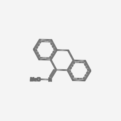 CON=C1c2ccccc2Cc2ccccc21